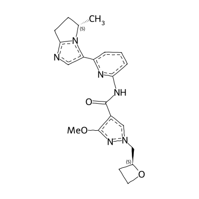 COc1nn(C[C@@H]2CCO2)cc1C(=O)Nc1cccc(-c2cnc3n2[C@@H](C)CC3)n1